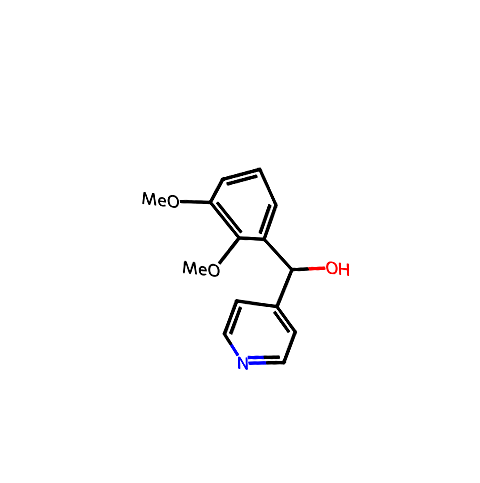 COc1cccc(C(O)c2ccncc2)c1OC